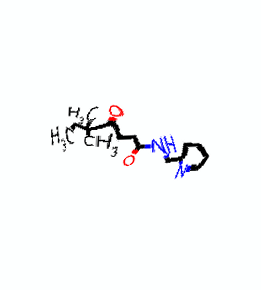 CCC(C)(C)C(=O)CCC(=O)NCc1ccccn1